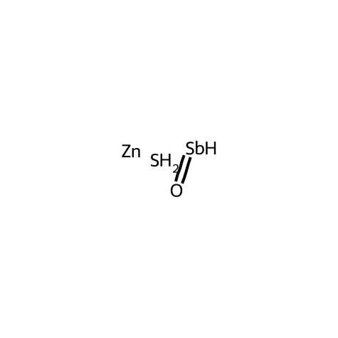 S.[O]=[SbH].[Zn]